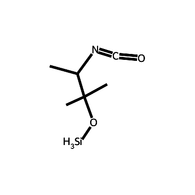 CC(N=C=O)C(C)(C)O[SiH3]